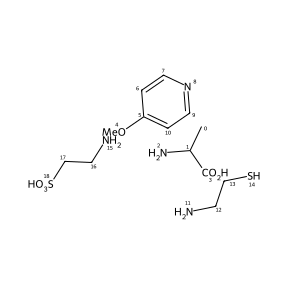 CC(N)C(=O)O.COc1ccncc1.NCCS.NCCS(=O)(=O)O